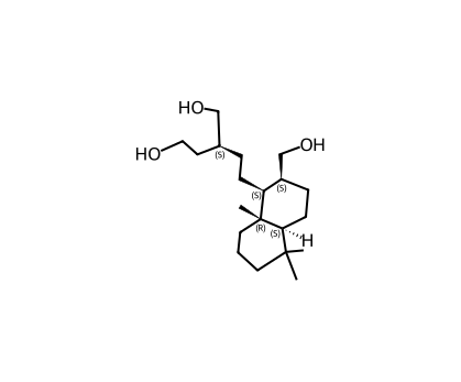 CC1(C)CCC[C@]2(C)[C@@H](CC[C@H](CO)CCO)[C@@H](CO)CC[C@@H]12